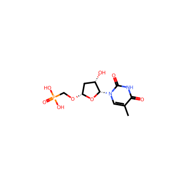 Cc1cn([C@@H]2O[C@H](OCP(=O)(O)O)C[C@@H]2O)c(=O)[nH]c1=O